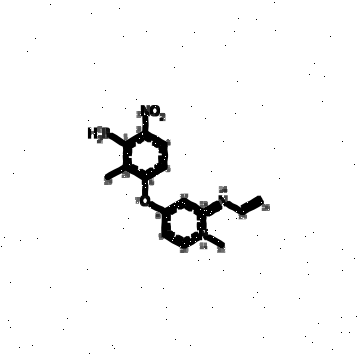 Bc1c([N+](=O)[O-])ccc(Oc2ccn(C)/c(=N\C=C)c2)c1C